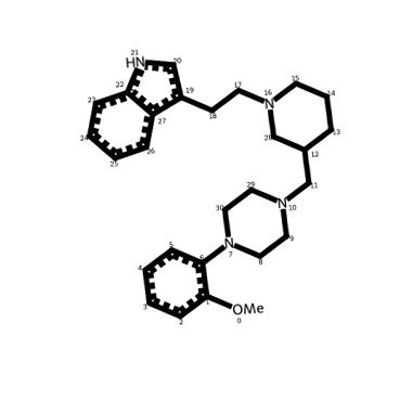 COc1ccccc1N1CCN(CC2CCCN(CCc3c[nH]c4ccccc34)C2)CC1